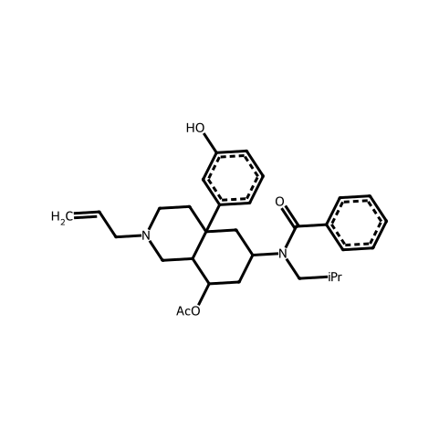 C=CCN1CCC2(c3cccc(O)c3)CC(N(CC(C)C)C(=O)c3ccccc3)CC(OC(C)=O)C2C1